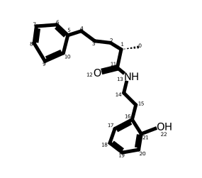 C[C@@H](CCCc1ccccc1)C(=O)NCCc1ccccc1O